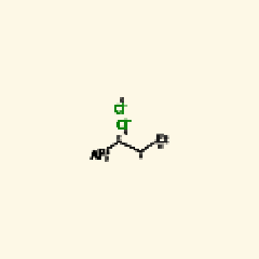 CCC[CH2][Al+2].[Cl-].[Cl-]